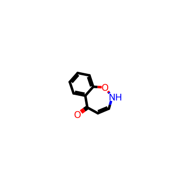 O=C1C=CNOc2ccccc21